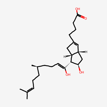 CC(C)=CCC[C@@H](C)CCC=C(O)[C@@H]1[C@@H]2CC(CCCC(=O)O)=C[C@@H]2C[C@H]1O